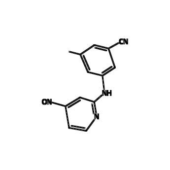 Cc1cc(C#N)cc(Nc2cc(N=O)ccn2)c1